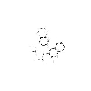 Cc1nc2cccc(F)c2c(-c2ccc3c(c2Cl)CCCO3)c1[C@H](OC(C)(C)C)C(=O)O